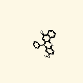 O=c1cc2n(-c3ccccc3)c3cc(O)ccc3nc-2c2ccccc12